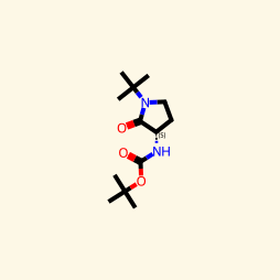 CC(C)(C)OC(=O)N[C@H]1CCN(C(C)(C)C)C1=O